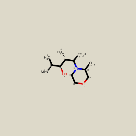 CN[C@@H](C)[C@H](O)[C@H](C)C(C(=O)O)N1CCOCC1C